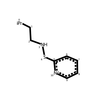 CC(C)CCNSc1ccccn1